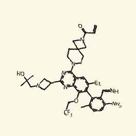 C=CC(=O)N1CC2(CCN(c3nc(C4CN(CC(C)(C)O)C4)nc4c(OCC(F)(F)F)c(-c5c(C)ccc(N)c5C=N)c(CC)cc34)CC2)C1